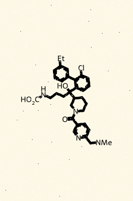 CCc1cccc(-c2c(Cl)cccc2C(O)(CCCNC(=O)O)C2CCCN(C(=O)c3ccc(CNC)nc3)C2)c1